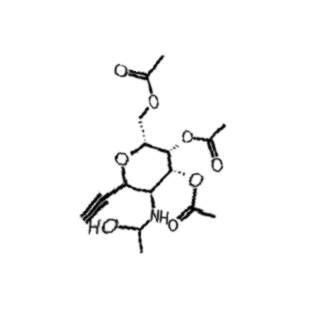 C#CC1O[C@H](COC(C)=O)[C@H](OC(C)=O)[C@H](OC(C)=O)[C@H]1NC(C)O